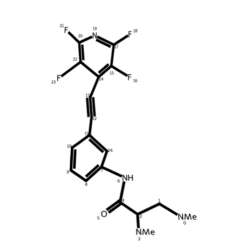 CNCC(NC)C(=O)Nc1cccc(C#Cc2c(F)c(F)nc(F)c2F)c1